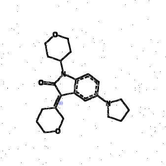 O=C1/C(=C2\CCCOC2)c2cc(N3CCCC3)ccc2N1C1CCOCC1